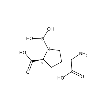 NCC(=O)O.O=C(O)[C@@H]1CCCN1B(O)O